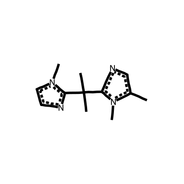 Cc1cnc(C(C)(C)c2nccn2C)n1C